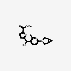 COC(=O)c1ccc(C(O)c2ccc(N3CC4CC4C3)nc2C)o1